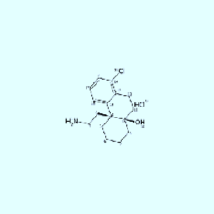 Cl.NCC[C@]12CCCC[C@@]1(O)CCc1c(Cl)cccc12